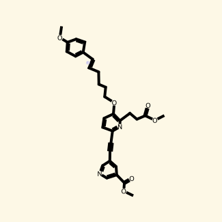 COC(=O)CCc1nc(C#Cc2cncc(C(=O)OC)c2)ccc1OCCCC/C=C/c1ccc(OC)cc1